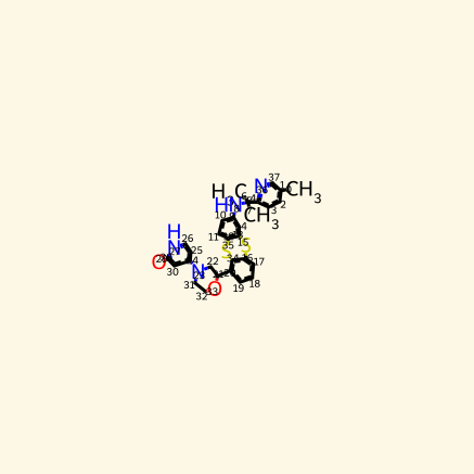 Cc1ccc(C(C)(C)Nc2ccc3c(c2)Sc2cccc(C4CN(c5cc[nH]c(=O)c5)CCO4)c2S3)nc1